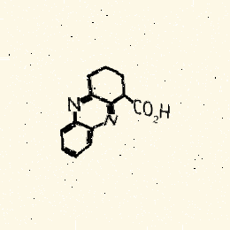 O=C(O)C1CCCc2nc3ccccc3nc21